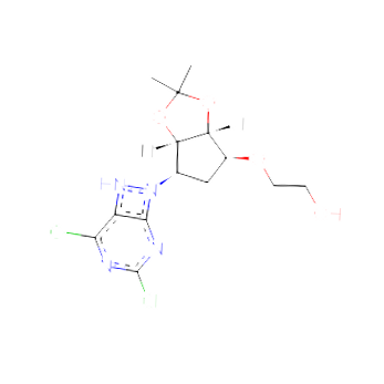 CC1(C)O[C@@H]2[C@H](O1)[C@@H](OCCO)C[C@H]2n1[nH]c2c(Cl)nc(Cl)nc21